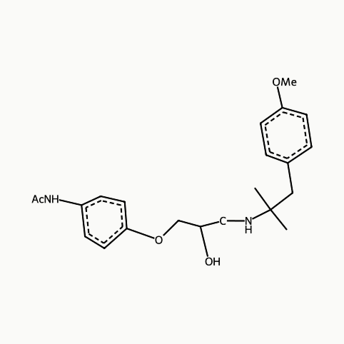 COc1ccc(CC(C)(C)NCC(O)COc2ccc(NC(C)=O)cc2)cc1